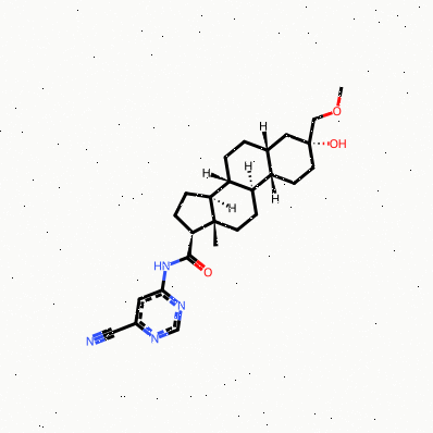 COC[C@@]1(O)CC[C@H]2[C@H](CC[C@@H]3[C@@H]2CC[C@]2(C)[C@@H](C(=O)Nc4cc(C#N)ncn4)CC[C@@H]32)C1